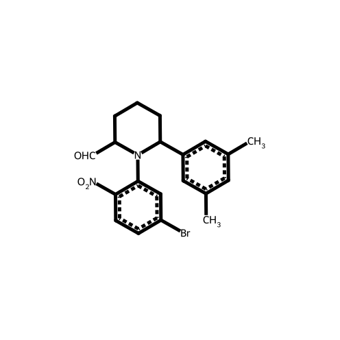 Cc1cc(C)cc(C2CCCC(C=O)N2c2cc(Br)ccc2[N+](=O)[O-])c1